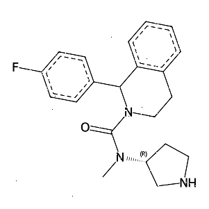 CN(C(=O)N1CCc2ccccc2C1c1ccc(F)cc1)[C@@H]1CCNC1